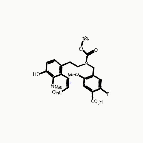 CNc1c(O)ccc(CCN(Cc2cc(F)c(C(=O)O)cc2OC)C(=O)OC(C)(C)C)c1/C=C\C=O